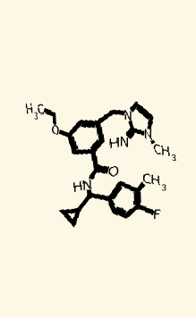 CCOc1cc(Cn2ccn(C)c2=N)cc(C(=O)NC(c2ccc(F)c(C)c2)C2CC2)c1